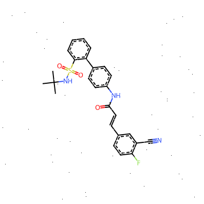 CC(C)(C)NS(=O)(=O)c1ccccc1-c1ccc(NC(=O)C=Cc2ccc(F)c(C#N)c2)cc1